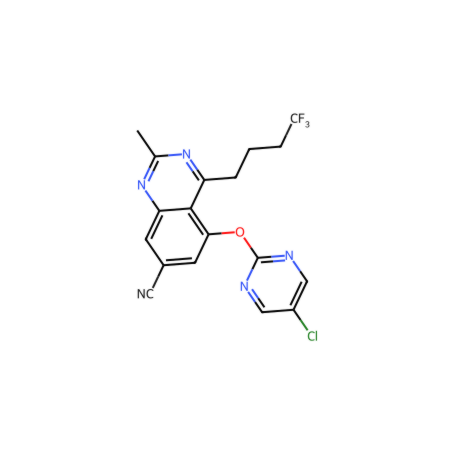 Cc1nc(CCCC(F)(F)F)c2c(Oc3ncc(Cl)cn3)cc(C#N)cc2n1